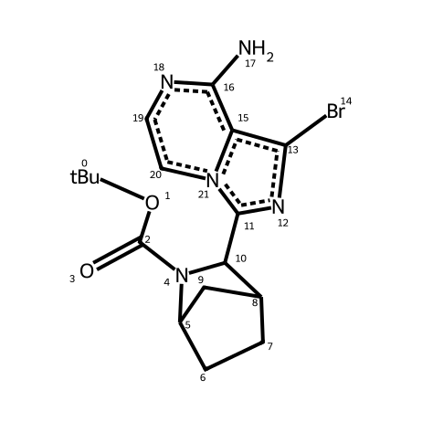 CC(C)(C)OC(=O)N1C2CCC(C2)C1c1nc(Br)c2c(N)nccn12